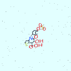 CS(=O)(=O)COc1ccc(Cn2c(=O)c(O)c(C(=O)O)c3sccc32)cc1